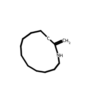 C=C1CCCCCCCCCCCN1